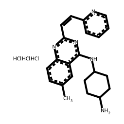 Cc1ccc2nc(/C=C\c3ccccn3)nc(NC3CCC(N)CC3)c2c1.Cl.Cl.Cl